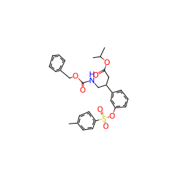 Cc1ccc(S(=O)(=O)Oc2cccc(C(CNC(=O)OCc3ccccc3)CC(=O)OC(C)C)c2)cc1